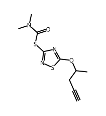 C#CCC(C)Oc1nc(SC(=O)N(C)C)ns1